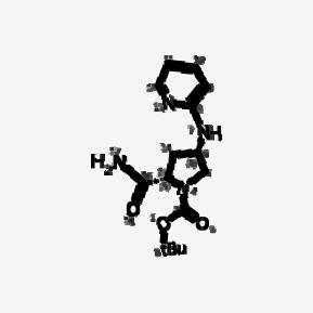 CC(C)(C)OC(=O)N1C[C@H](Nc2ccccn2)C[C@H]1C(N)=O